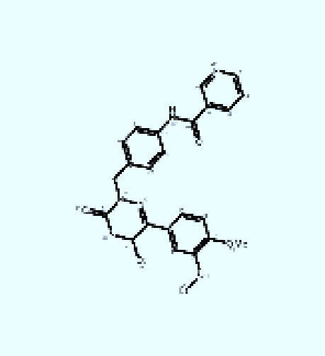 CCOc1cc(C2=NN(Cc3ccc(NC(=O)c4cccnc4)cc3)C(=O)SC2CC)ccc1OC